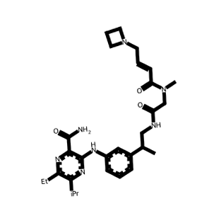 CCc1nc(C(N)=O)c(Nc2cccc(C(C)CNC(=O)CN(C)C(=O)C=CCN3CCC3)c2)nc1C(C)C